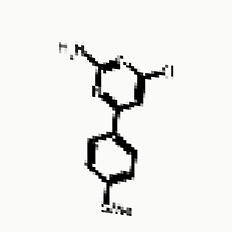 CSc1ccc(-c2cc(Cl)nc(N)n2)cc1